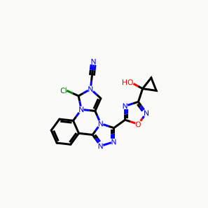 N#CN1C=C2N(c3ccccc3-c3nnc(-c4nc(C5(O)CC5)no4)n32)C1Cl